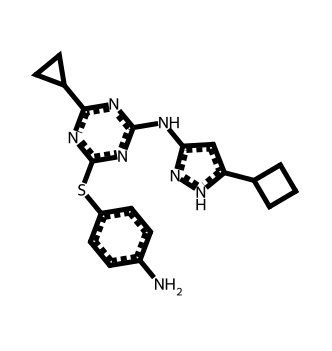 Nc1ccc(Sc2nc(Nc3cc(C4CCC4)[nH]n3)nc(C3CC3)n2)cc1